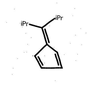 CC(C)C(=C1[C]=CC=C1)C(C)C